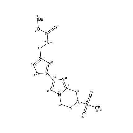 CC(C)(C)OC(=O)NCc1coc(-c2nc3n(n2)CCN(S(=O)(=O)C(F)(F)F)C3)n1